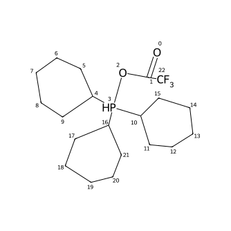 O=C(O[PH](C1CCCCC1)(C1CCCCC1)C1CCCCC1)C(F)(F)F